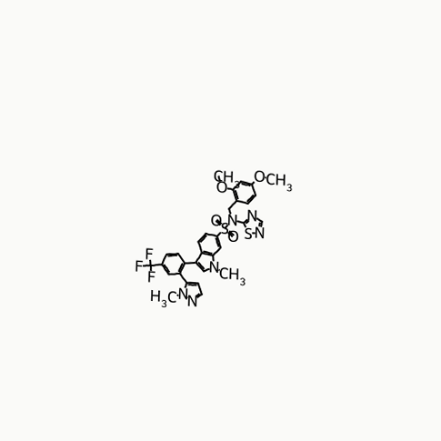 COc1ccc(CN(c2ncns2)S(=O)(=O)c2ccc3c(-c4ccc(C(F)(F)F)cc4-c4ccnn4C)cn(C)c3c2)c(OC)c1